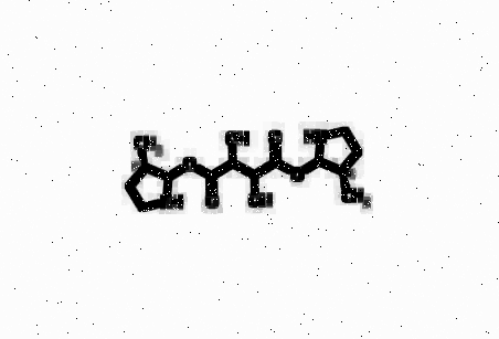 C[C@@H]1CCNC1OC(=O)C(O)C(O)C(=O)OC1NCC[C@H]1C